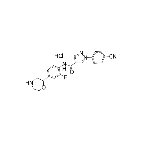 Cl.N#Cc1ccc(-n2cc(C(=O)Nc3ccc(C4CNCCO4)cc3F)cn2)cc1